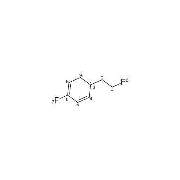 FCC[C]1C=CC(F)=CC1